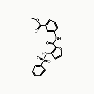 COC(=O)c1cccc(NC(=O)c2sccc2NS(=O)(=O)c2ccccc2)c1